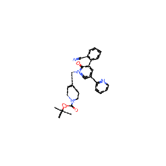 CC(C)(C)OC(=O)N1CCC(Cn2cc(-c3ccccn3)cc(-c3ccccc3C#N)c2=O)CC1